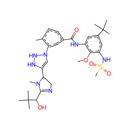 COc1c(NC(=O)c2ccc(C)c(N3C=C(C4CN=C(C(O)C(C)(C)C)N4C)NN3)c2)cc(C(C)(C)C)cc1NS(C)(=O)=O